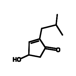 CC(C)CC1=CC(O)CC1=O